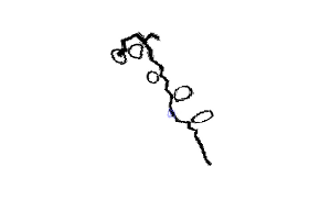 CCCCCC(=O)C/C=C/C(=O)CCC(=O)CCCC1(CC)CCC(=O)O1